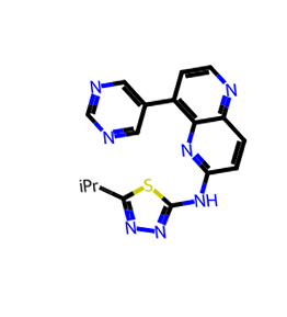 CC(C)c1nnc(Nc2ccc3nccc(-c4cncnc4)c3n2)s1